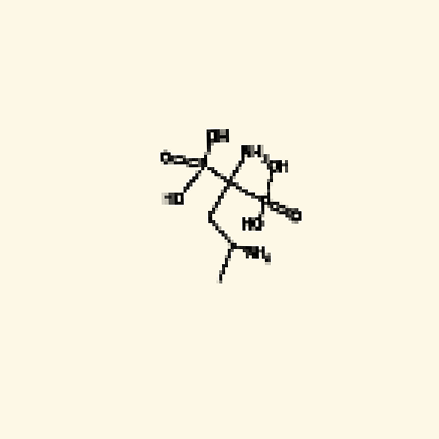 CC(N)CC(N)(P(=O)(O)O)P(=O)(O)O